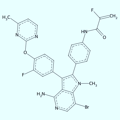 C=C(F)C(=O)Nc1ccc(-c2c(-c3ccc(Oc4nccc(C)n4)c(F)c3)c3c(N)ncc(Br)c3n2C)cc1